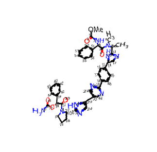 COC(=O)N[C@@H](C(=O)N(C)[C@@H](C)c1ncc(-c2ccc(-c3ncc(-c4cnc([C@@H]5CCCN5C(=O)[C@H](OC(N)=O)c5ccccc5)[nH]4)cn3)cc2)[nH]1)c1ccccc1